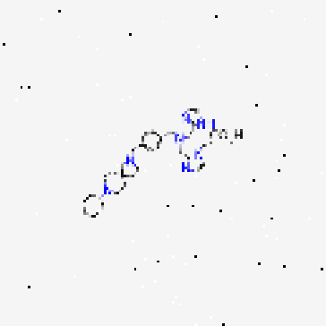 O=C(O)CCn1ccnc1CN(Cc1ccc(CN2CCC3(CCN(C4CCCCC4)CC3)C2)cc1)Cc1ncc[nH]1